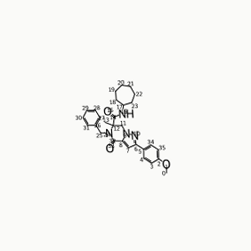 COc1ccc(-c2cc3n(n2)CC(C)(C(=O)NC2CCCCCC2)N(Cc2ccccc2)C3=O)cc1